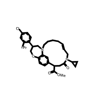 CCCc1cc(Cl)ccc1C1COc2ccc3cc2N(CCCC/C=C/CN(C2CC2)C(=O)CC3C(=O)OC)C1